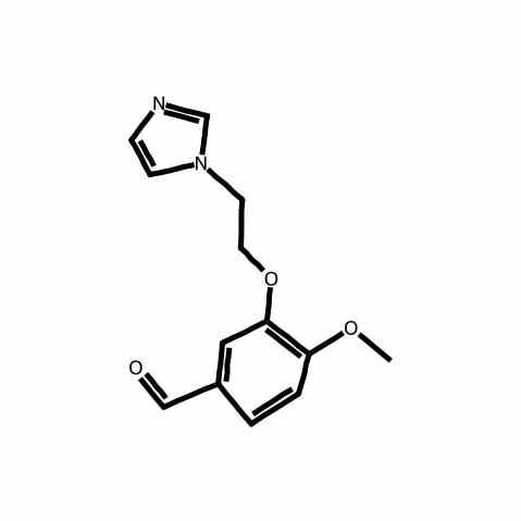 COc1ccc(C=O)cc1OCCn1ccnc1